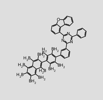 Bc1c(B)c(-c2c(B)c(B)c3c(B)c(B)c(B)c(B)c3c2B)c(B)c(B)c1-c1cccc(-c2nc(-c3ccccc3)nc(-c3cccc4oc5ccccc5c34)n2)c1